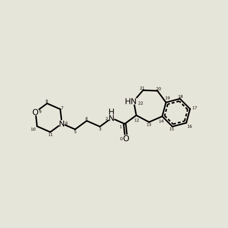 O=C(NCCCN1CCOCC1)C1Cc2ccccc2CCN1